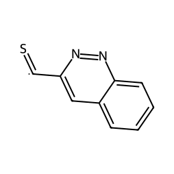 S=[C]c1cc2ccccc2nn1